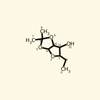 CCC1OC2OC(C)(C)OC2C1O